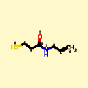 C=CCNC(=O)CCS